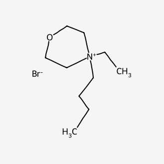 CCCC[N+]1(CC)CCOCC1.[Br-]